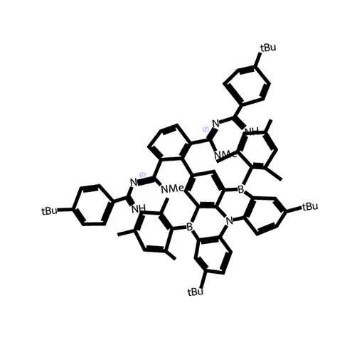 CN/C(=N\C(=N)c1ccc(C(C)(C)C)cc1)c1cccc(/C(=N/C(=N)c2ccc(C(C)(C)C)cc2)NC)c1-c1cc2c3c(c1)B(c1c(C)cc(C)cc1C)c1cc(C(C)(C)C)ccc1N3c1ccc(C(C)(C)C)cc1B2c1c(C)cc(C)cc1C